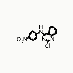 O=[N+]([O-])c1ccc(Nc2nc(Cl)nc3ccccc23)cc1